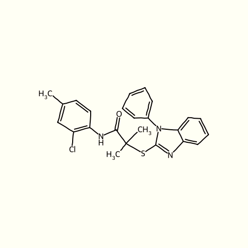 Cc1ccc(NC(=O)C(C)(C)Sc2nc3ccccc3n2-c2ccccc2)c(Cl)c1